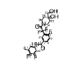 Cc1cc(NC(=O)c2ccc(F)c(C(F)(F)C(=O)N3CCC(O)(CO)CC3)c2)cc(F)c1F